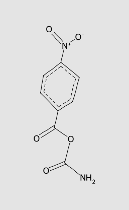 NC(=O)OC(=O)c1ccc([N+](=O)[O-])cc1